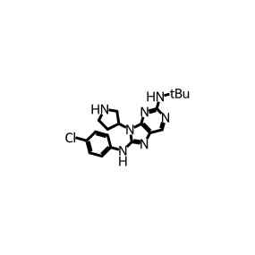 CC(C)(C)Nc1ncc2nc(Nc3ccc(Cl)cc3)n(C3CCNC3)c2n1